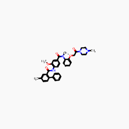 COc1cc(C(=O)N(C)c2ccccc2OCC(=O)N2CCN(C)CC2)ccc1NC(=O)c1cc(C)ccc1-c1ccccc1